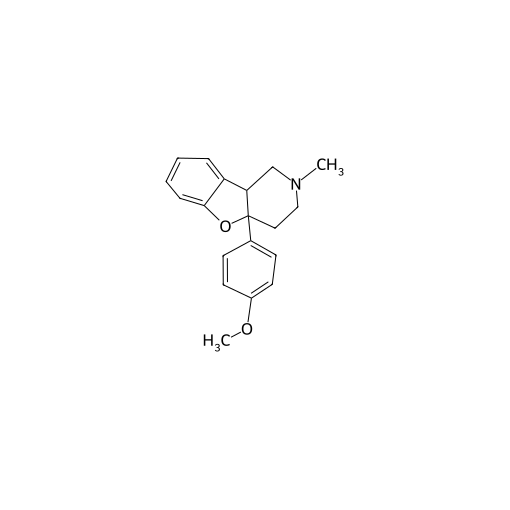 COc1ccc(C23CCN(C)CC2c2ccccc2O3)cc1